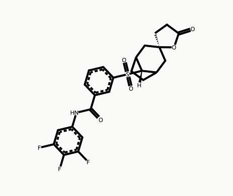 O=C1CC[C@]2(CC3CCC(C2)[C@@H]3S(=O)(=O)c2cccc(C(=O)Nc3cc(F)c(F)c(F)c3)c2)O1